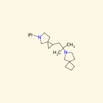 CC(C)N1CCC2(CC2CC(C)(C)N2CCC3(CCC3)C2)C1